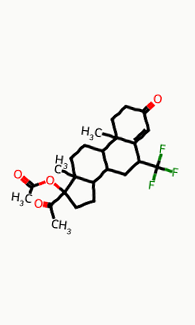 CC(=O)OC1(C(C)=O)CCC2C3CC(C(F)(F)F)C4=CC(=O)CCC4(C)C3CCC21C